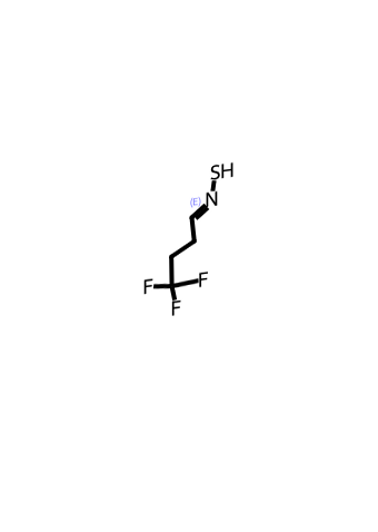 FC(F)(F)CC/C=N/S